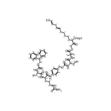 CCC=CCC=CCCCCCC(CCCCCCC)C(=O)COC(=O)C(C)(C)NC(=O)C(CC(C)C)NC(=O)OCc1ccc(NC(=O)C(CCCNC(N)=O)NC(=O)C(NC(=O)OCC2c3ccccc3-c3ccccc32)C(C)C)cc1